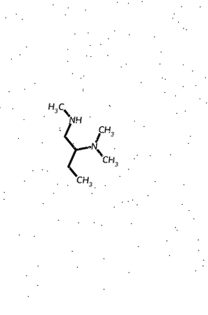 CCC(CNC)N(C)C